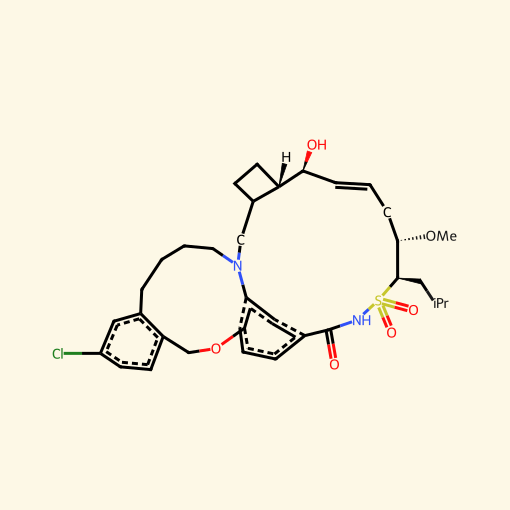 CO[C@H]1C/C=C/[C@H](O)[C@H]2CCC2CN2CCCCc3cc(Cl)ccc3COc3ccc(cc32)C(=O)NS(=O)(=O)[C@@H]1CC(C)C